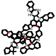 C[C@H]1C=Cc2c(sc3c2N=C(n2c4ccccc4c4cc5ccccc5cc42)C(c2ccc4sc5ccc(-c6ccc7c(c6)c6cc8ccccc8cc6n7C6CNc7c(oc8ccccc78)NC6c6ccc7sc8cc(-c9ccc%10c(c9)c9cc%11ccccc%11cc9n%10-c9nc%10c(nc9-c9ccc%11c(c9)sc9ccccc9%11)C(C)(C)c9ccccc9-%10)ccc8c7c6)cc5c4c2)N3)C1